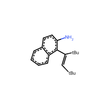 CC(C)(C)C=C(c1c(N)ccc2ccccc12)C(C)(C)C